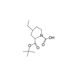 CCC1CCN(C(=O)O)C(C(=O)OC(C)(C)C)C1